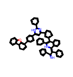 N=C(/C(=C1\NC(c2ccccc2)=C(c2cccc(C3=NC(c4ccccc4)NC(c4ccc(C5=C6Oc7ccccc7C6CC=C5)cc4)=C3)c2)c2ccccc21)c1ccccc1)c1ccccc1